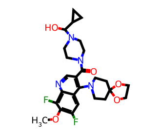 COc1c(F)cc2c(N3CCC4(CC3)OCCO4)c(C(=O)N3CCN(C(O)C4CC4)CC3)cnc2c1F